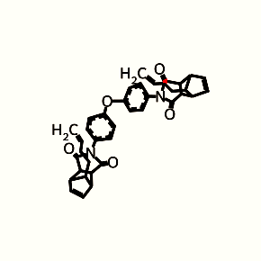 C=CCCC1C2C=CC1C1C(=O)N(c3ccc(Oc4ccc(N5C(=O)C6C7C=CC(C7CCC=C)C6C5=O)cc4)cc3)C(=O)C21